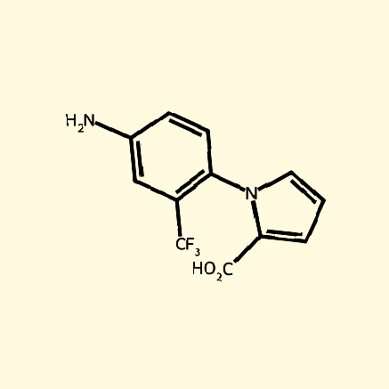 Nc1ccc(-n2cccc2C(=O)O)c(C(F)(F)F)c1